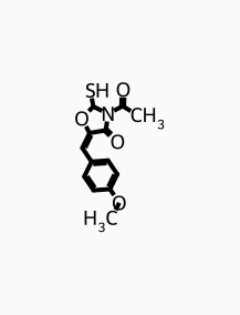 COc1ccc(/C=C2/OC(S)N(C(C)=O)C2=O)cc1